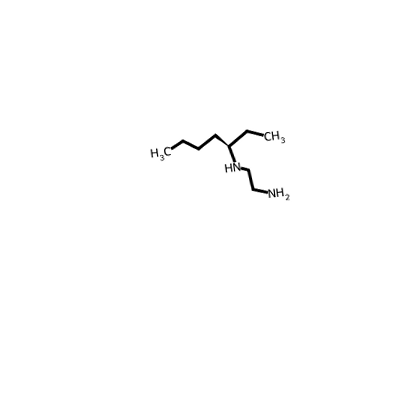 CCCC[C@@H](CC)NCCN